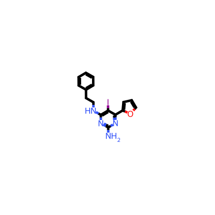 Nc1nc(NCCc2ccccc2)c(I)c(-c2ccco2)n1